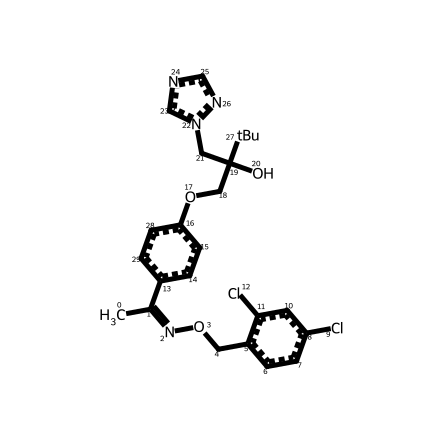 CC(=NOCc1ccc(Cl)cc1Cl)c1ccc(OCC(O)(Cn2cncn2)C(C)(C)C)cc1